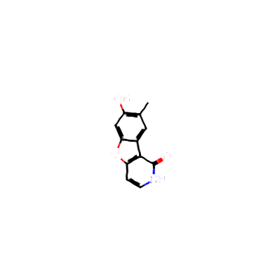 Cc1cc2c(cc1O)oc1cc[nH]c(=O)c12